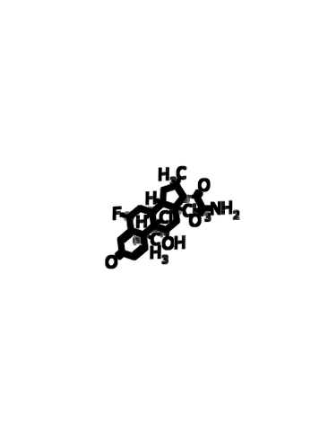 C[C@@H]1C[C@H]2[C@@H]3C[C@H](F)C4=CC(=O)C=C[C@]4(C)[C@@]3(Cl)[C@@H](O)C[C@]2(C)[C@H]1C(=O)C(N)=O